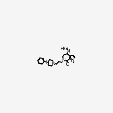 Cn1ccc2c1C(=O)N(CCCN1CCN(c3ccccc3)CC1)CCC2=NO